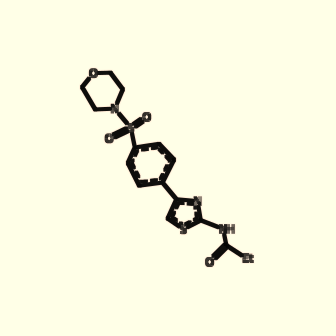 CCC(=O)Nc1nc(-c2ccc(S(=O)(=O)N3CCOCC3)cc2)cs1